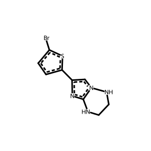 Brc1ccc(-c2cn3c(n2)NCCN3)s1